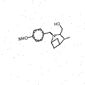 COc1ccc(CN2C3CC(C3)C(C)C2CO)cc1